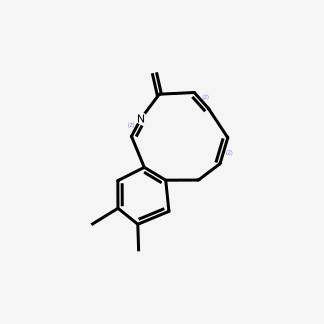 C=C1/C=C\C=C/Cc2cc(C)c(C)cc2/C=N\1